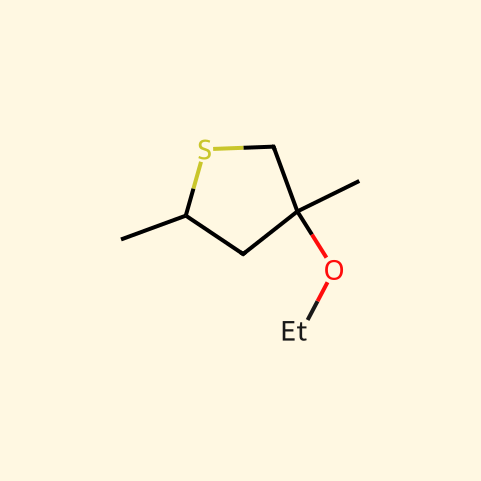 CCOC1(C)CSC(C)C1